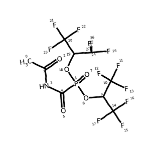 CC(=O)NC(=O)P(=O)(OC(C(F)(F)F)C(F)(F)F)OC(C(F)(F)F)C(F)(F)F